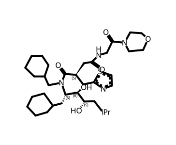 CC(C)C[C@H](O)[C@H](O)[C@H](CC1CCCCC1)N(CC1CCCCC1)C(=O)[C@@H](CC(=O)NCC(=O)N1CCOCC1)Cc1nccs1